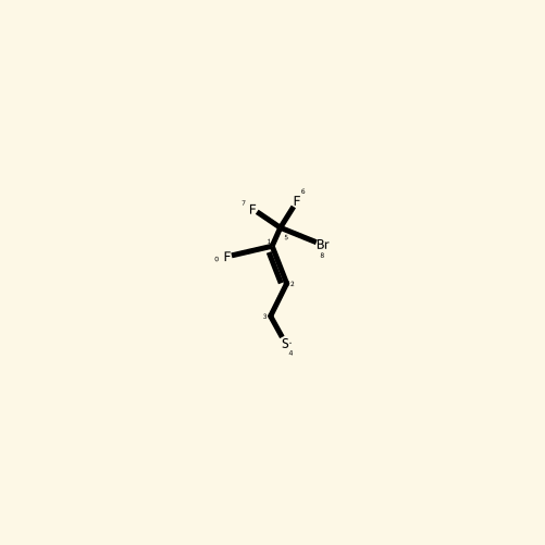 FC(=CC[S])C(F)(F)Br